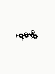 O=C1C(=Cc2ccc(-c3ccc(F)cc3F)o2)Sc2ccccc21